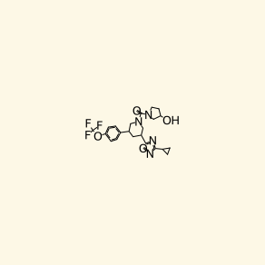 O=C(N1CCC(O)C1)N1CC(c2ccc(OC(F)(F)F)cc2)CC(c2nc(C3CC3)no2)C1